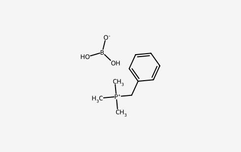 C[P+](C)(C)Cc1ccccc1.[O-]B(O)O